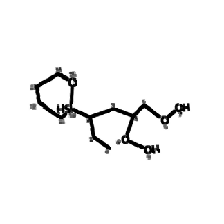 CCC(CC(COO)OO)[SiH]1CCCCO1